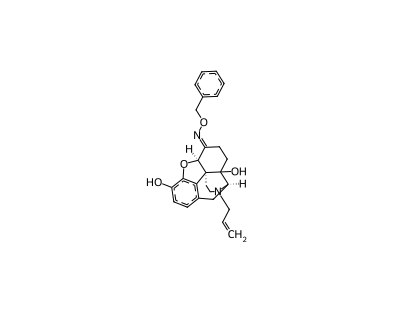 C=CCN1CC[C@]23c4c5ccc(O)c4O[C@H]2C(=NOCc2ccccc2)CCC3(O)[C@H]1C5